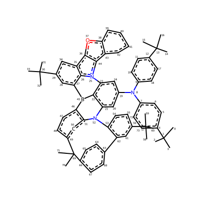 CC(C)(C)c1ccc(N(c2ccc(C(C)(C)C)cc2)c2cc3c4c(c2)-n2c5c(cc(C(C)(C)C)cc5c5oc6ccccc6c52)B4c2ccc4cc2N3c2ccc(C(C)(C)C)cc2-c2ccc(cc2)C4(C)C)cc1